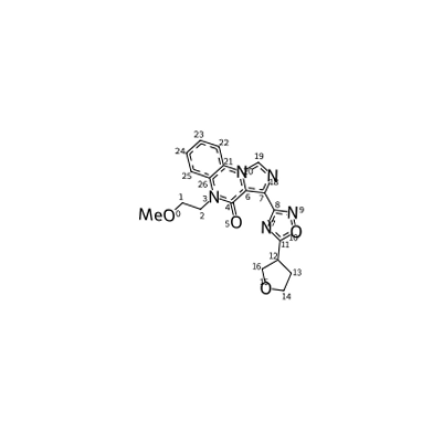 COCCn1c(=O)c2c(-c3noc(C4CCOC4)n3)ncn2c2ccccc21